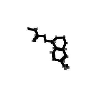 COC(=O)CCN1CCCc2cc(N)ccc21